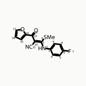 CS/C(Nc1ccc(F)cc1)=C(/C#N)C(=O)c1ccco1